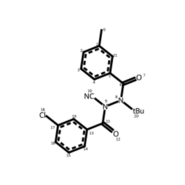 Cc1cccc(C(=O)N(N(C#N)C(=O)c2cccc(Cl)c2)C(C)(C)C)c1